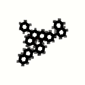 c1ccc(-c2ccc(N(c3ccc(-c4cccc5ccccc45)cc3)c3cccc(-c4ccc5ccccc5c4)c3-c3ccccc3-c3ccccc3)cc2)cc1